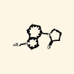 CCCCn1ccc2c(N3CCCC3=O)cccc21